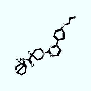 O=C(N[C@H]1CN2CCC1CC2)C1(F)CCN(c2nccc(-c3ccc(OCCF)cc3)n2)CC1